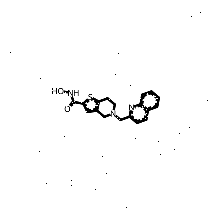 O=C(NO)c1cc2c(s1)CCN(Cc1ccc3ccccc3n1)C2